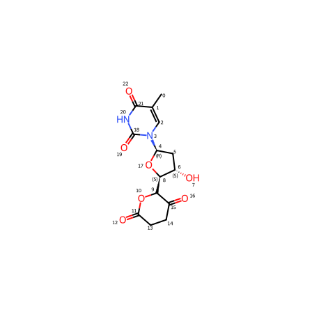 Cc1cn([C@H]2C[C@H](O)[C@@H](C3OC(=O)CCC3=O)O2)c(=O)[nH]c1=O